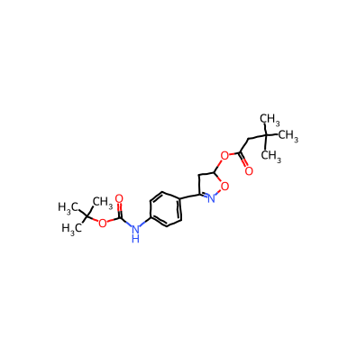 CC(C)(C)CC(=O)OC1CC(c2ccc(NC(=O)OC(C)(C)C)cc2)=NO1